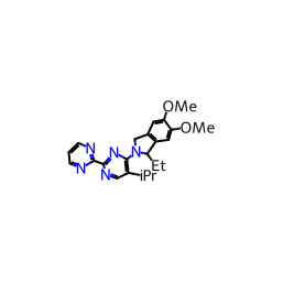 CCC1c2cc(OC)c(OC)cc2CN1c1nc(-c2ncccn2)ncc1C(C)C